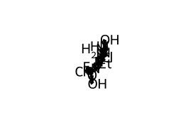 C=C(NCCO)c1nc(Cl)c(N2CCN(C3CCN(Cc4cc(F)c(Cl)cc4OCCCO)CC3)[C@@H](CC)C2)nc1N